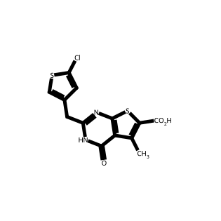 Cc1c(C(=O)O)sc2nc(Cc3csc(Cl)c3)[nH]c(=O)c12